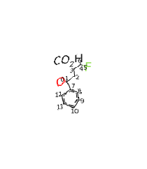 O=C(CCC(F)C(=O)O)c1ccccc1